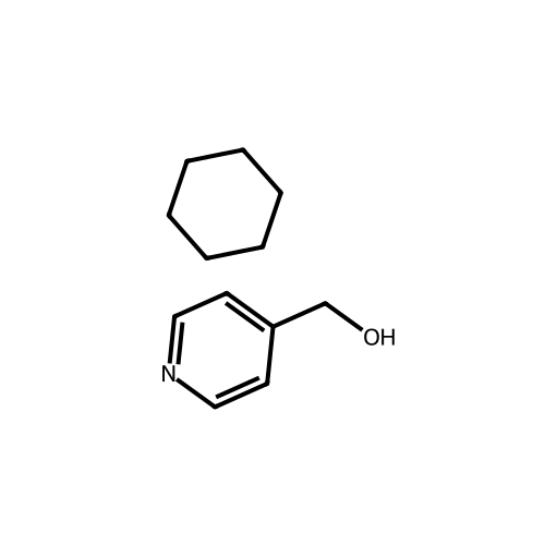 C1CCCCC1.OCc1ccncc1